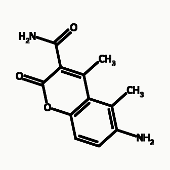 Cc1c(N)ccc2oc(=O)c(C(N)=O)c(C)c12